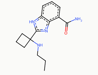 CCCNC1(c2nc3c(C(N)=O)cccc3[nH]2)CCC1